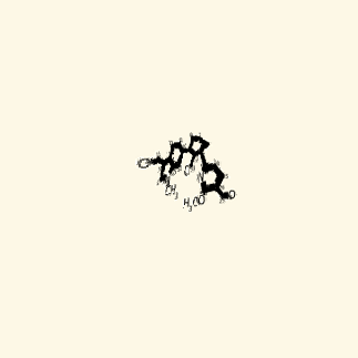 COc1nc(-c2cccc(-c3ccc4c(C=O)cn(C)c4c3)c2Cl)ccc1C=O